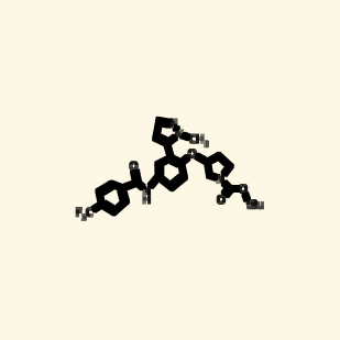 Cn1nccc1-c1cc(NC(=O)c2ccc(C(F)(F)F)cc2)ccc1OC1CCN(C(=O)OC(C)(C)C)C1